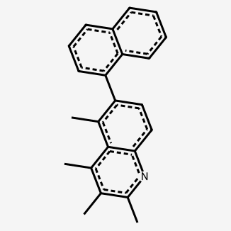 Cc1nc2ccc(-c3cccc4ccccc34)c(C)c2c(C)c1C